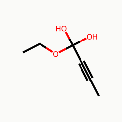 CC#CC(O)(O)OCC